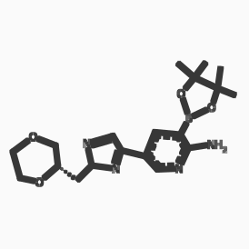 CC1(C)OB(c2cc(C3=NC(C[C@H]4COCCO4)N=C3)cnc2N)OC1(C)C